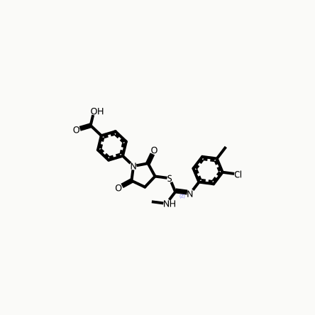 CN/C(=N/c1ccc(C)c(Cl)c1)SC1CC(=O)N(c2ccc(C(=O)O)cc2)C1=O